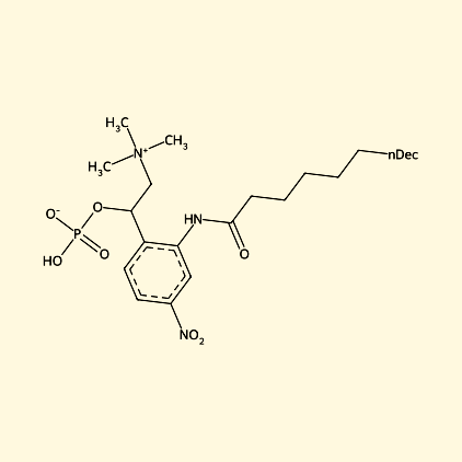 CCCCCCCCCCCCCCCC(=O)Nc1cc([N+](=O)[O-])ccc1C(C[N+](C)(C)C)OP(=O)([O-])O